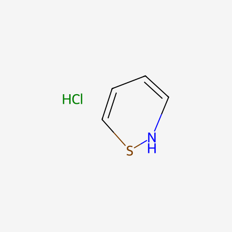 C1=CNSC=C1.Cl